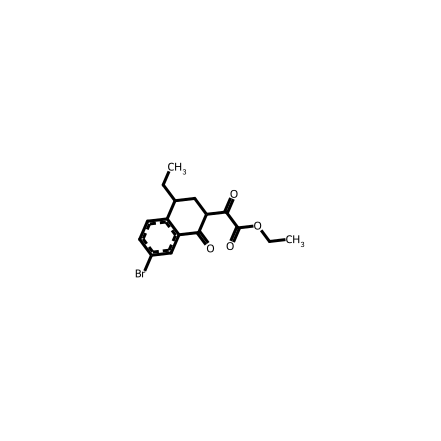 CCOC(=O)C(=O)C1CC(CC)c2ccc(Br)cc2C1=O